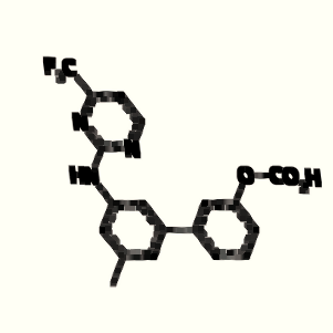 Cc1cc(Nc2nccc(C(F)(F)F)n2)cc(-c2cccc(OC(=O)O)c2)c1